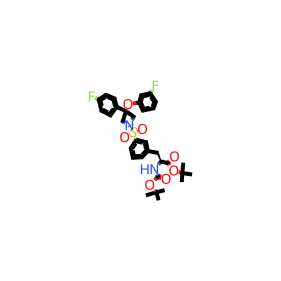 CC(C)(C)OC(=O)N[C@@H](Cc1cccc(S(=O)(=O)N2CC(Oc3cccc(F)c3)(c3ccc(F)cc3)C2)c1)C(=O)OC(C)(C)C